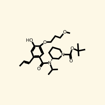 C/C=C/c1cc(O)c(OCCCOC)cc1C(=O)N(C(C)C)[C@@H]1CCCN(C(=O)OC(C)(C)C)C1